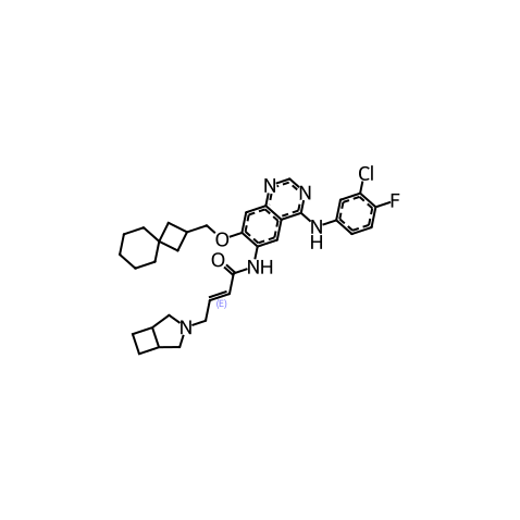 O=C(/C=C/CN1CC2CCC2C1)Nc1cc2c(Nc3ccc(F)c(Cl)c3)ncnc2cc1OCC1CC2(CCCCC2)C1